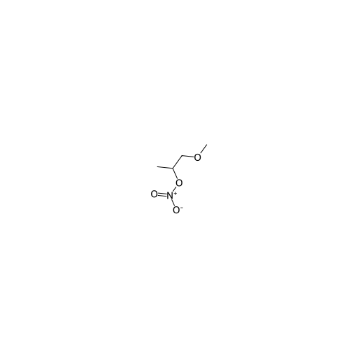 COCC(C)O[N+](=O)[O-]